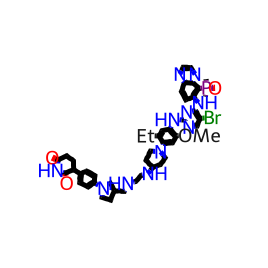 CCc1cc(Nc2ncc(Br)c(Nc3ccc4nccnc4c3P(C)(C)=O)n2)c(OC)cc1N1CCC(NCCNCC2CCN(c3ccc(C4CCC(=O)NC4=O)cc3)C2)CC1